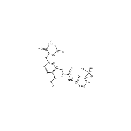 CCOc1ccc(CC(OC(C)C)C(=O)O)cc1COC(=O)Nc1cccc(C(F)(F)F)c1